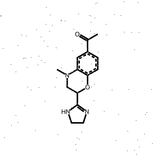 CC(=O)c1ccc2c(c1)N(C)CC(C1=NCCN1)O2